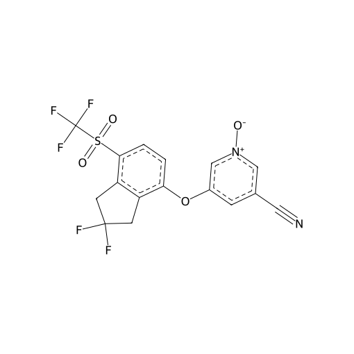 N#Cc1cc(Oc2ccc(S(=O)(=O)C(F)(F)F)c3c2CC(F)(F)C3)c[n+]([O-])c1